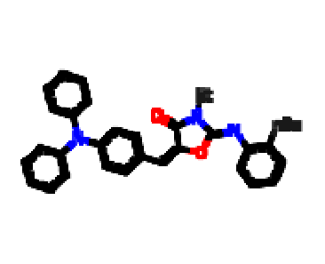 CCCCc1ccccc1N=C1O/C(=C/c2ccc(N(c3ccccc3)c3ccccc3)cc2)C(=O)N1CC